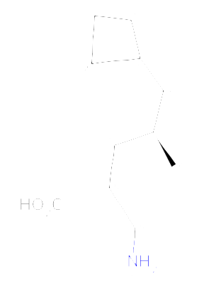 C[C@H](CC1CCC1)C[C@H](CN)C(=O)O